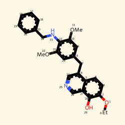 CCOc1ccc2c(Cc3cc(OC)c(NCc4ccccc4)c(OC)c3)cncc2c1O